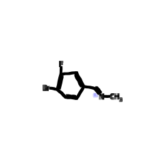 C/N=C/c1ccc(Br)c(F)c1